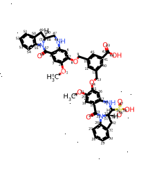 COc1cc2c(cc1OCc1cc(COc3cc4c(cc3OC)C(=O)N3c5ccccc5C[C@H]3C(S(=O)(=O)O)N4)cc(C(=O)O)c1)NC[C@@H]1Cc3ccccc3N1C2=O